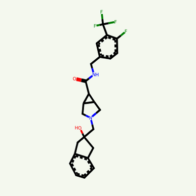 O=C(NCc1ccc(F)c(C(F)(F)F)c1)C1C2CN(CC3(O)Cc4ccccc4C3)CC21